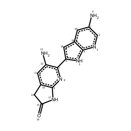 Nc1cnc2[nH]c(-c3nc4c(cc3N)CC(=O)N4)cc2c1